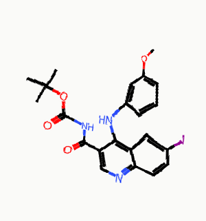 COc1cccc(Nc2c(C(=O)NC(=O)OC(C)(C)C)cnc3ccc(I)cc23)c1